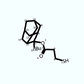 CCCCC1(OC(=O)CCS)C2CC3CC(C2)CC1C3